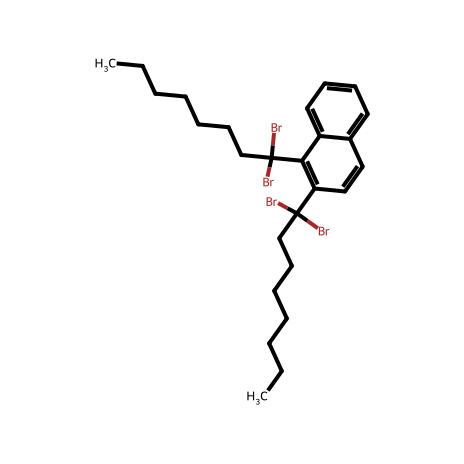 CCCCCCCC(Br)(Br)c1ccc2ccccc2c1C(Br)(Br)CCCCCCC